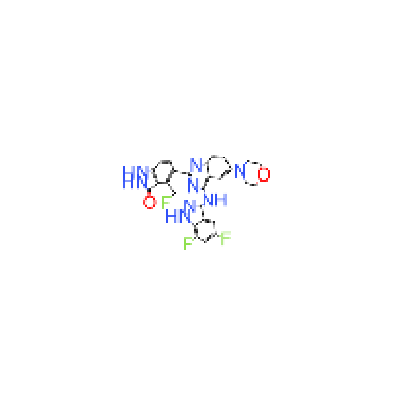 O=c1[nH][nH]c2ccc(-c3nc(Nc4n[nH]c5c(F)cc(F)cc45)c4cc(N5CCOCC5)ccc4n3)c(CF)c12